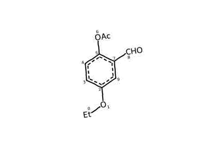 CCOc1ccc(OC(C)=O)c(C=O)c1